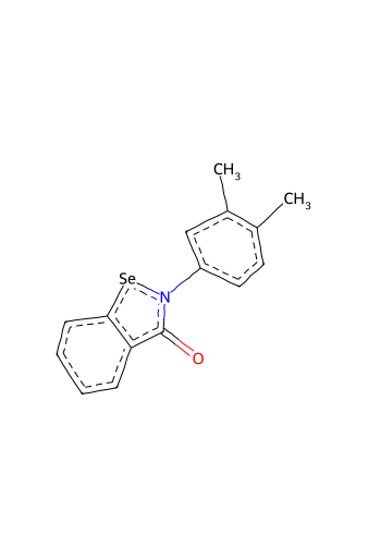 Cc1ccc(-n2[se]c3ccccc3c2=O)cc1C